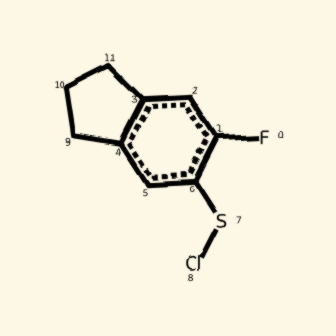 Fc1cc2c(cc1SCl)CCC2